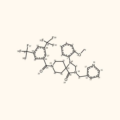 COc1ccccc1N1CN(Cc2cccnc2)C(=O)C12CCN(C(=O)c1cc(C(F)(F)F)cc(C(F)(F)F)c1)CC2